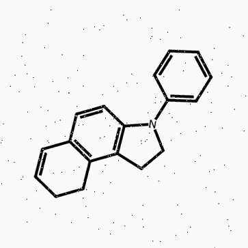 C1=Cc2ccc3c(c2CC1)CCN3c1ccccc1